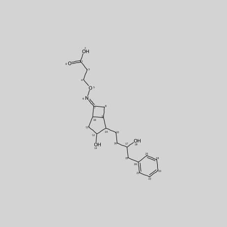 O=C(O)CCON=C1CC2C1CC(O)C2CCC(O)Cc1ccccc1